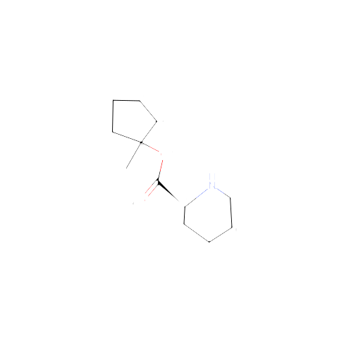 CC1(OC(=O)[C@@H]2CCCCN2)CCCC1